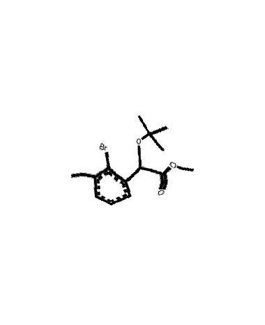 COC(=O)C(OC(C)(C)C)c1cccc(C)c1Br